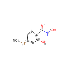 N#CSc1ccc(C(=O)NO)c(O)c1